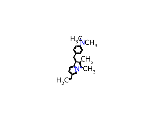 C=Cc1ccc2[n+](c1)C(C)=C(C)/C2=C\c1ccc(N(C)C)cc1